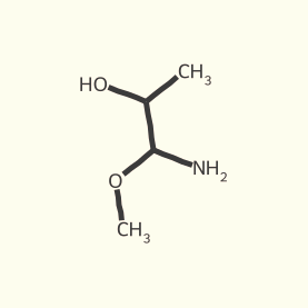 COC(N)C(C)O